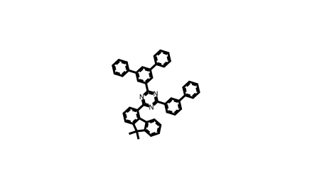 CC1(C)c2ccccc2-c2c(-c3nc(-c4cccc(-c5ccccc5)c4)nc(-c4cc(-c5ccccc5)cc(-c5ccccc5)c4)n3)cccc21